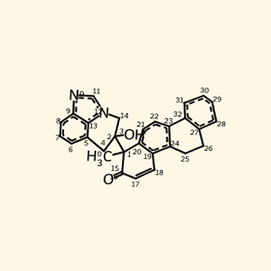 CC1(C2(O)Cc3cccc4ncn(c34)C2)C(=O)C=Cc2c1ccc1c2CCc2ccccc2-1